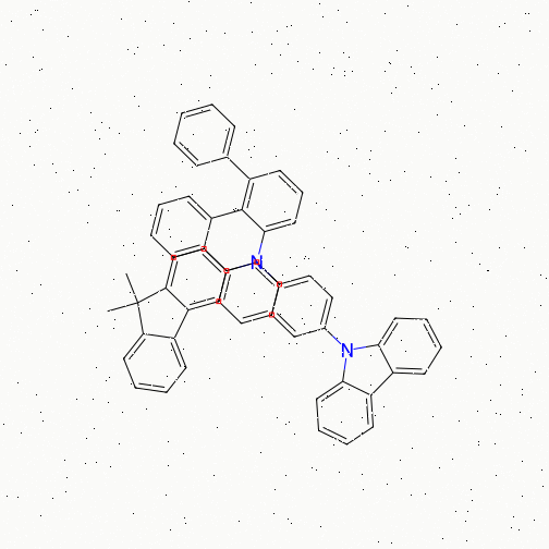 CC1(C)c2ccccc2-c2cc(N(c3ccc(-n4c5ccccc5c5ccccc54)cc3)c3cccc(-c4ccccc4)c3-c3ccccc3-c3ccccc3)ccc21